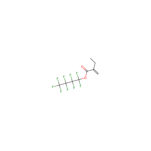 C=C(CC)C(=O)OC(F)(F)C(F)(F)C(F)(F)C(F)(F)F